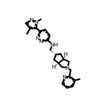 Cc1cccnc1CN1C[C@H]2C[C@H](CNc3ccc(-c4c(C)cnn4C)nn3)C[C@H]2C1